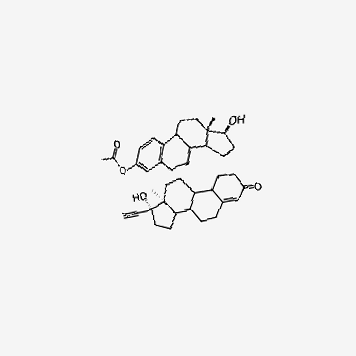 C#C[C@]1(O)CCC2C3CCC4=CC(=O)CCC4C3CC[C@@]21C.CC(=O)Oc1ccc2c(c1)CCC1C2CC[C@@]2(C)C1CC[C@@H]2O